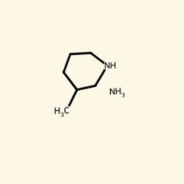 CC1CCCNC1.N